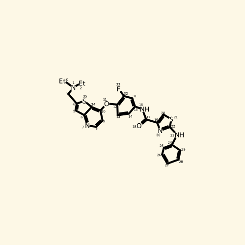 CCN(CC)Cc1cc2nccc(Oc3ccc(NC(=O)c4csc(Nc5ccccc5)n4)cc3F)c2s1